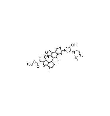 C[C@H]1CN(C2CN(c3ncc4c5c(c(-c6ncc(F)c7sc(NC(=O)OC(C)(C)C)c(C#N)c67)c(F)c4n3)COC5)CC2O)CCN1C